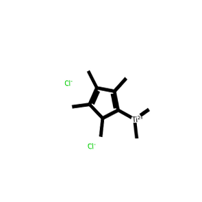 CC1=C(C)C(C)[C]([Ti+2]([CH3])[CH3])=C1C.[Cl-].[Cl-]